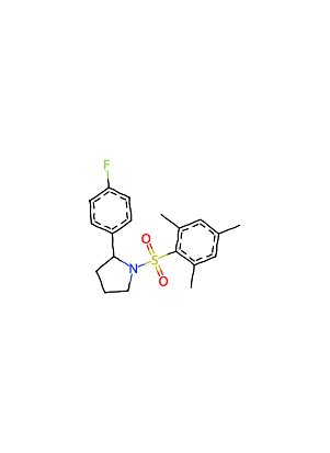 Cc1cc(C)c(S(=O)(=O)N2CCCC2c2ccc(F)cc2)c(C)c1